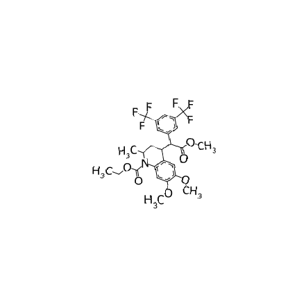 CCOC(=O)N1c2cc(OC)c(OC)cc2C(C(C(=O)OC)c2cc(C(F)(F)F)cc(C(F)(F)F)c2)CC1C